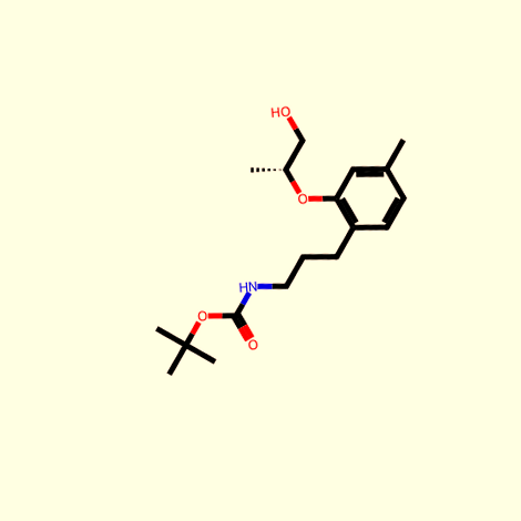 Cc1ccc(CCCNC(=O)OC(C)(C)C)c(O[C@H](C)CO)c1